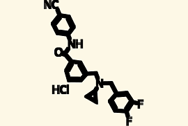 Cl.N#Cc1ccc(NC(=O)c2cccc(CN(Cc3ccc(F)c(F)c3)C3CC3)c2)cc1